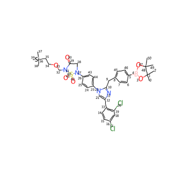 CC1(C)OB(c2ccc(Cc3nc(-c4ccc(Cl)cc4Cl)cn3-c3ccc(N4CC(=O)N(COCC[Si](C)(C)C)S4(=O)=O)cc3)cc2)OC1(C)C